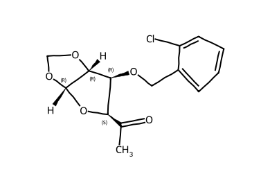 CC(=O)[C@H]1O[C@@H]2OCO[C@@H]2[C@H]1OCc1ccccc1Cl